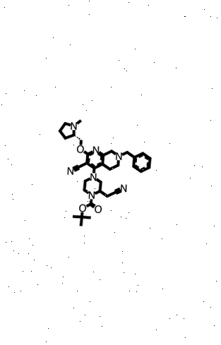 CN1CCC[C@H]1COc1nc2c(c(N3CCN(C(=O)OC(C)(C)C)C(CC#N)C3)c1C#N)CCN(Cc1ccccc1)C2